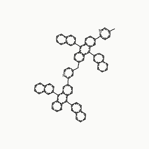 Cc1ccc(-c2ccc3c(-c4ccc5ccccc5c4)c4ccc(Cc5ccnc(-c6ccc7c(-c8ccc9ccccc9c8)c8ccccc8c(-c8ccc9ccccc9c8)c7c6)c5)cc4c(-c4ccc5ccccc5c4)c3c2)nc1